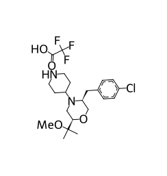 COC(C)(C)[C@H]1CN(C2CCNCC2)[C@@H](Cc2ccc(Cl)cc2)CO1.O=C(O)C(F)(F)F